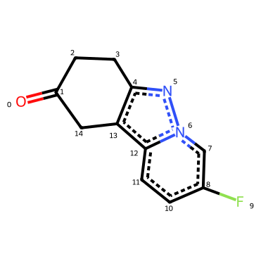 O=C1CCc2nn3cc(F)ccc3c2C1